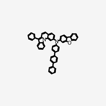 c1ccc(-c2ccc(-c3ccc(N(c4ccc5c(c4)oc4ccccc45)c4ccc5ccc6c(-c7ccccc7)c7ccccc7n6c5c4)cc3)cc2)cc1